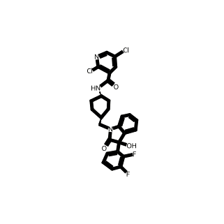 O=C(N[C@H]1CC[C@H](CN2C(=O)C(O)(c3cccc(F)c3F)c3ccccc32)CC1)c1cc(Cl)cnc1Cl